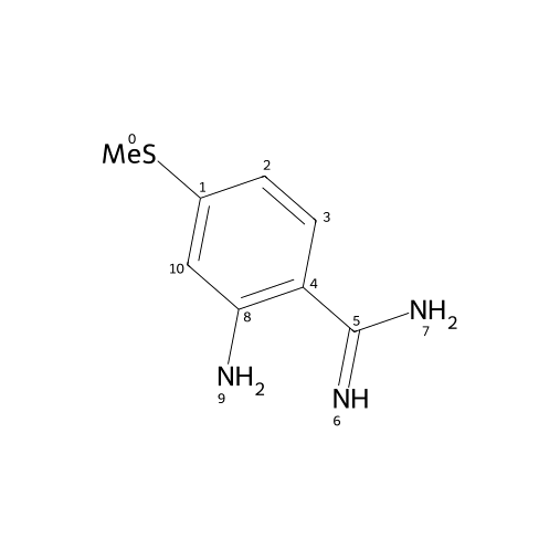 CSc1ccc(C(=N)N)c(N)c1